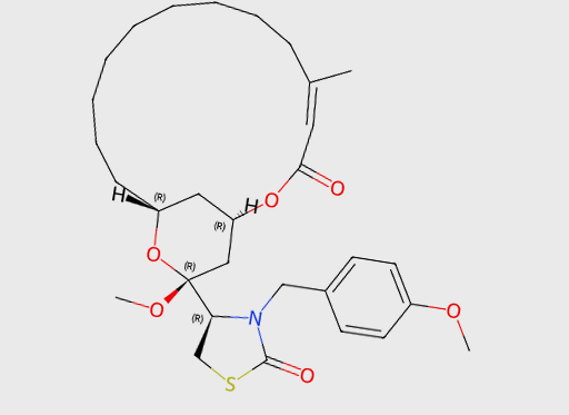 COc1ccc(CN2C(=O)SC[C@H]2[C@@]2(OC)C[C@H]3C[C@@H](CCCCCCCCCC(C)=CC(=O)O3)O2)cc1